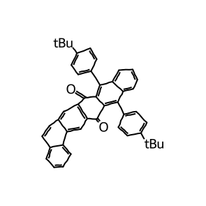 CC(C)(C)c1ccc(-c2c3c(c(-c4ccc(C(C)(C)C)cc4)c4ccccc24)C(=O)c2cc4c(ccc5ccccc54)cc2C3=O)cc1